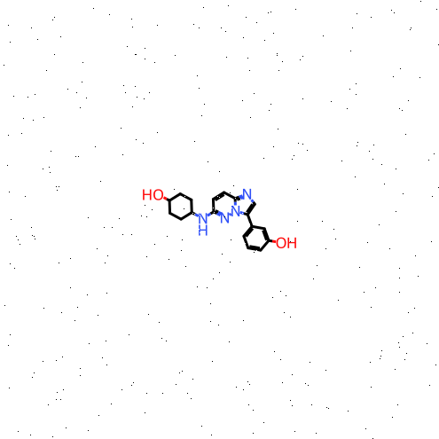 Oc1cccc(-c2cnc3ccc(NC4CCC(O)CC4)nn23)c1